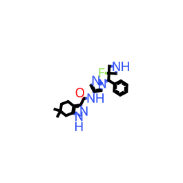 CC1(C)CCc2c(C(=O)Nc3cnn(C(c4ccccc4)C4(F)CNC4)c3)n[nH]c2C1